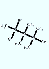 C[Si](C)(C)[Si](C)(C)[Si](C)(Br)Br